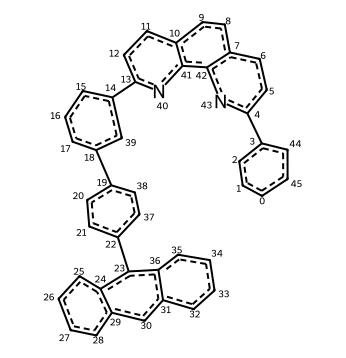 c1ccc(-c2ccc3ccc4ccc(-c5cccc(-c6ccc(-c7c8ccccc8cc8ccccc78)cc6)c5)nc4c3n2)cc1